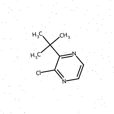 CC(C)(C)c1nccnc1Cl